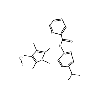 CN(C)c1ccc([N-]C(=O)c2ccccn2)cc1.Cc1c(C)c(C)[c-](C)c1C.[Cl][Ir+2]